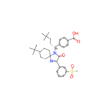 CC(C)(C)CC[C@H](c1ccc(C(=O)O)cc1)N1C(=O)C(c2cccc(S(C)(=O)=O)c2)=NC12CCC(C(C)(C)C)CC2